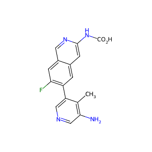 Cc1c(N)cncc1-c1cc2cc(NC(=O)O)ncc2cc1F